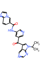 CC(C)n1cc(C(=O)c2cncc(NC(=O)c3ccc4nccn4c3)c2)c2cncnc21